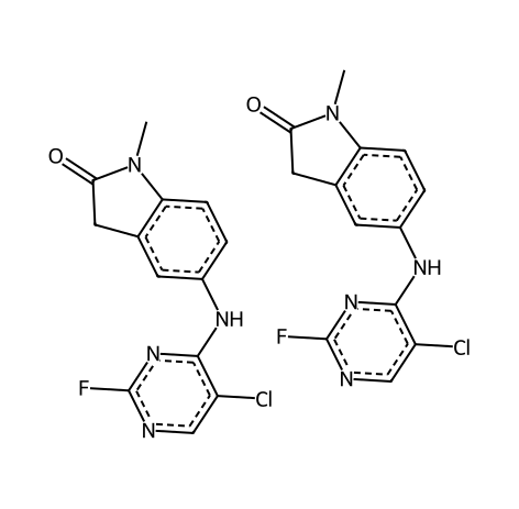 CN1C(=O)Cc2cc(Nc3nc(F)ncc3Cl)ccc21.CN1C(=O)Cc2cc(Nc3nc(F)ncc3Cl)ccc21